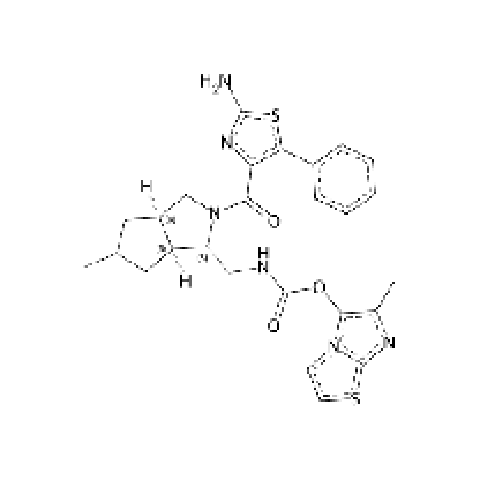 Cc1nc2sccn2c1OC(=O)NC[C@@H]1[C@H]2CC(C)C[C@H]2CN1C(=O)c1nc(N)sc1-c1ccccc1